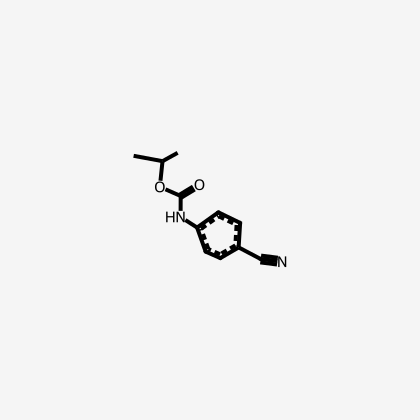 CC(C)OC(=O)Nc1ccc(C#N)cc1